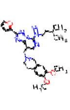 COc1cc2c(cc1OC)CN(Cc1cnc(NCCC(C)C)n3nc(-c4ccco4)nc13)CC2